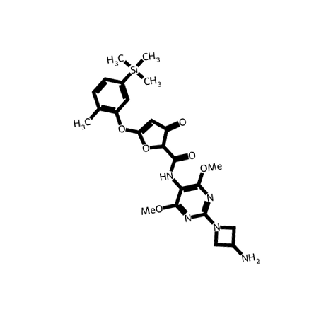 COc1nc(N2CC(N)C2)nc(OC)c1NC(=O)C1OC(Oc2cc([Si](C)(C)C)ccc2C)=CC1=O